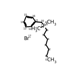 CCCCCCC[P+](C)(C)Cc1ccccc1.[Br-]